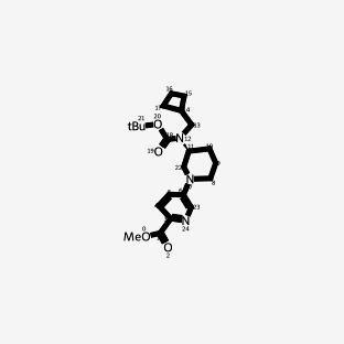 COC(=O)c1ccc(N2CCC[C@@H](N(CC3CCC3)C(=O)OC(C)(C)C)C2)cn1